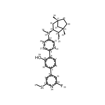 CSc1cc(-c2ccc(-c3ncc(N(C)[C@H]4C[C@]5(C)CC[C@@](C)(C5)[C@H]4F)nn3)c(O)c2)cc(F)n1